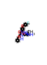 Cc1nc(CC(=O)NC(COCc2ccccc2)C(=O)Nc2ccc(Oc3ccc(F)cc3)cc2)c[nH]1